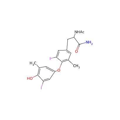 CC(=O)NC(Cc1cc(C)c(Oc2cc(C)c(O)c(I)c2)c(I)c1)C(N)=O